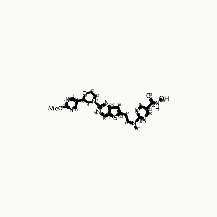 COc1ncc(C2CN(c3ncc4sc(CCN(C)c5ncc(C(=O)NO)cn5)cc4n3)CCO2)cn1